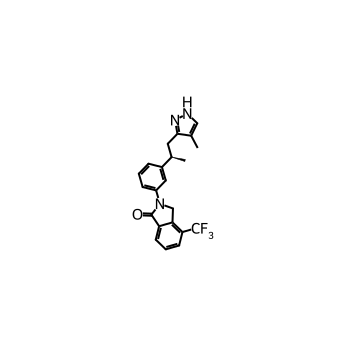 Cc1c[nH]nc1C[C@@H](C)c1cccc(N2Cc3c(cccc3C(F)(F)F)C2=O)c1